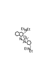 CCN(CC)Cc1ccc2c(c1)N(C)C1(C=Nc3c(c(CN(CC)CC)cc4ccccc34)O1)C2(C)C